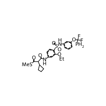 CCOc1cc(NC(=O)C(C(=O)SC)C2CCC2)ccc1S(=O)(=O)Nc1cccc(OC(F)(F)P)c1